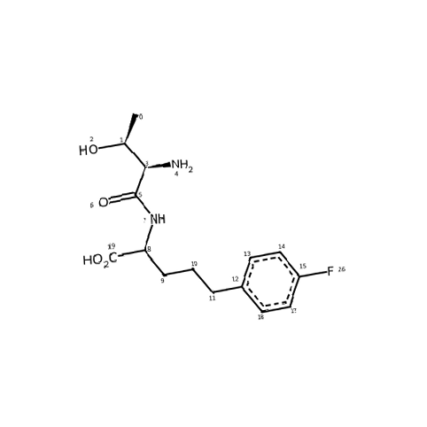 C[C@H](O)[C@@H](N)C(=O)NC(CCCc1ccc(F)cc1)C(=O)O